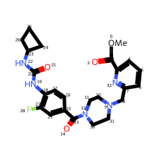 COC(=O)c1cccc(CN2CCN(C(=O)c3ccc(NC(=O)NC4CCC4)c(F)c3)CC2)n1